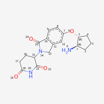 N[C@@H]1CCC[C@H]1Oc1ccc2c(c1)CN(C1CCC(=O)NC1=O)C2=O